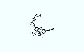 Cc1cc(OCC(=O)N2CC(CO)C2)cc(=O)n1[C@H](C)c1ccc(C#CC2CC2)cc1